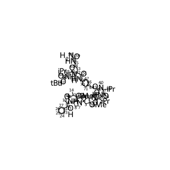 CCC(C)C(C(CC(=O)N1CCC[C@H]1C(OC)C(C)C(=O)NC(C)C(O)c1ccccc1)OC)N(C)C(=O)C(NC(=O)C(C(C)C)N(C)C(=O)OCc1ccc(NC(=O)C(CCCNC(N)=O)NC(=O)C(NC(=O)OC(C)(C)C)C(C)C)cc1)C(C)C